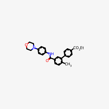 CCOC(=O)c1ccc(-c2cc(C(=O)Nc3ccc(N4CCOCC4)cc3)ccc2C)cc1